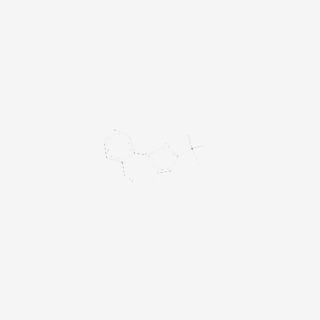 Cc1cc(C(C)(C)O)nn1-c1ccccc1C#N